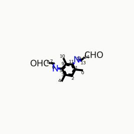 Cc1cc(C)c(N=CC=O)c(C)c1N=CC=O